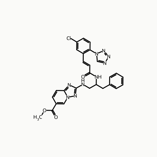 COC(=O)c1ccc2nc(NCC(Cc3ccccc3)NC(=O)C=Cc3cc(Cl)ccc3-n3cnnn3)nn2c1